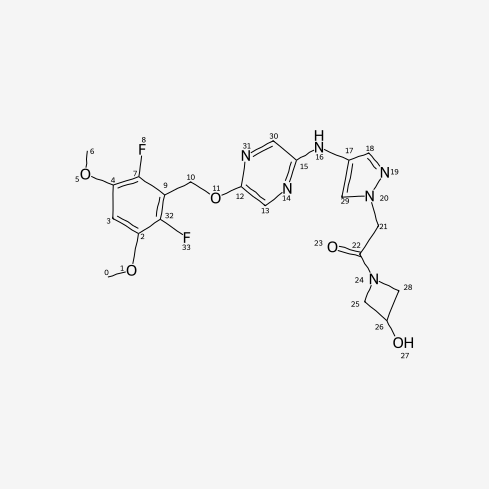 COc1cc(OC)c(F)c(COc2cnc(Nc3cnn(CC(=O)N4CC(O)C4)c3)cn2)c1F